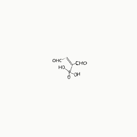 O=CC=C(C=O)P(=O)(O)O